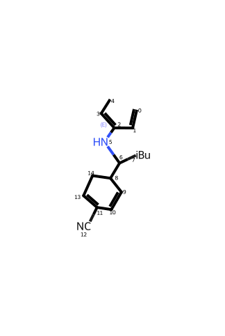 C=C/C(=C\C)NC(C(C)CC)C1C=CC(C#N)=CC1